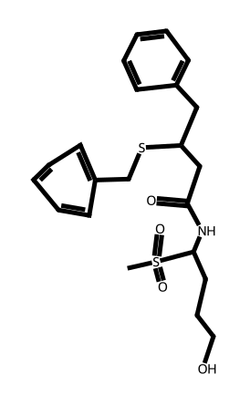 CS(=O)(=O)C(CCCO)NC(=O)CC(Cc1ccccc1)SCc1ccccc1